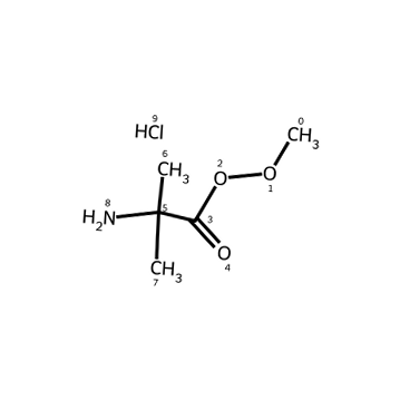 COOC(=O)C(C)(C)N.Cl